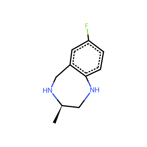 C[C@@H]1CNc2ccc(F)cc2CN1